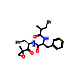 CC(C)C[C@H](NC(=O)[C@H](Cc1ccccc1)NC(=O)[C@@H](C)CC(C)C)C(=O)[C@@]1(C)CO1